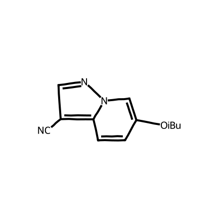 CC(C)COc1ccc2c(C#N)cnn2c1